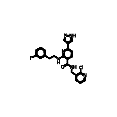 O=C(NCc1cccnc1Cl)c1ccc(-c2cn[nH]c2)nc1NCCc1cccc(F)c1